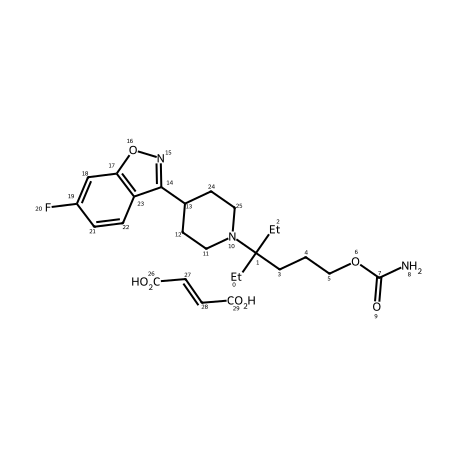 CCC(CC)(CCCOC(N)=O)N1CCC(c2noc3cc(F)ccc23)CC1.O=C(O)C=CC(=O)O